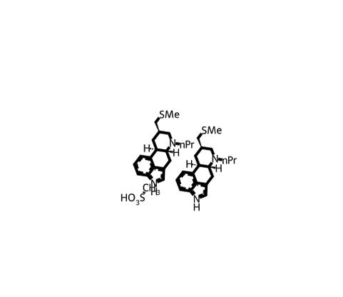 CCCN1C[C@H](CSC)C[C@@H]2c3cccc4[nH]cc(c34)C[C@H]21.CCCN1C[C@H](CSC)C[C@@H]2c3cccc4[nH]cc(c34)C[C@H]21.CS(=O)(=O)O